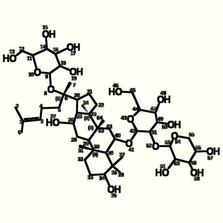 CC(C)=CCC[C@](C)(OC1OC(CO)C(O)C(O)C1O)C1CC[C@]2(C)C1C(O)CC1[C@@]3(C)CCC(O)C(C)(C)C3C(OC3OC(CO)C(O)C(O)C3OC3OCC(O)C(O)C3O)C[C@]12C